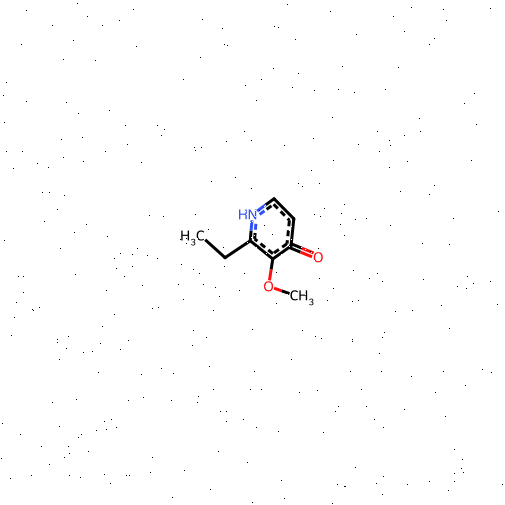 CCc1[nH]ccc(=O)c1OC